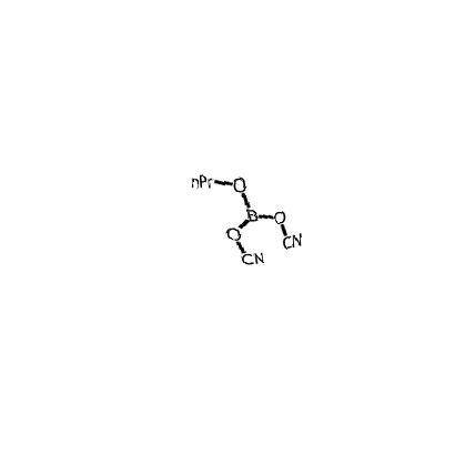 CCCOB(OC#N)OC#N